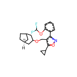 FC(F)Oc1ccccc1-c1noc(C2CC2)c1COC1CC2CC[C@@H](C2)C1